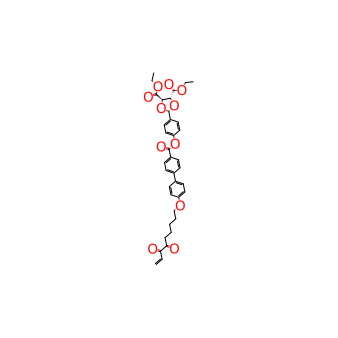 C=CC(=O)C(=O)CCCCCOc1ccc(-c2ccc(C(=O)Oc3ccc(C4O[C@@H](C(=O)OCC)[C@H](C(=O)OCC)O4)cc3)cc2)cc1